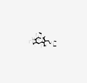 CCN(CC)CCc1c(C)[nH]c(/C=C2/C(=O)NN=C2c2cnccn2)c1C(F)(F)F